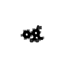 C=C1OC(=O)c2c1cc(C(C)=O)cc2-c1ccccc1